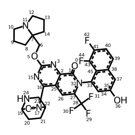 O=c1c2nc(OCC34CCCN3CCC4)nc(N3CC4CCC3CN4)c2cc(C(F)(F)F)n1-c1cc(O)cc2ccc(F)c(F)c12